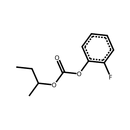 CCC(C)OC(=O)Oc1ccccc1F